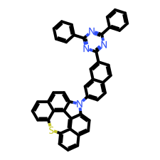 c1ccc(-c2nc(-c3ccccc3)nc(-c3ccc4ccc(-n5c6ccc7cccc8sc9cccc%10ccc5c(c%109)c6c78)cc4c3)n2)cc1